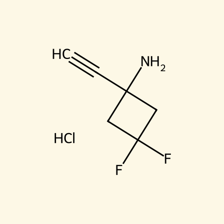 C#CC1(N)CC(F)(F)C1.Cl